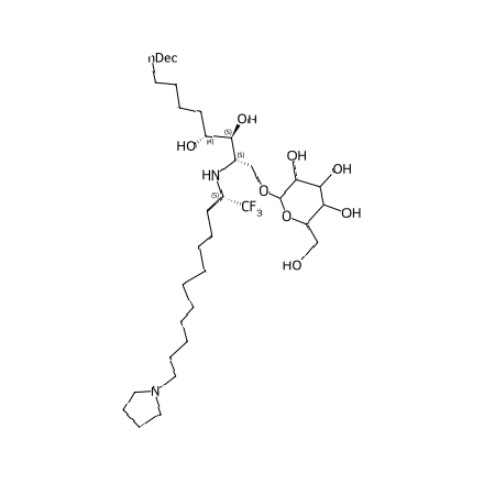 CCCCCCCCCCCCCC[C@@H](O)[C@@H](O)[C@H](COC1OC(CO)C(O)C(O)C1O)N[C@@H](CCCCCCCCCCN1CCCC1)C(F)(F)F